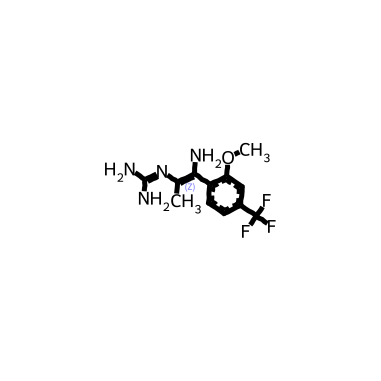 COc1cc(C(F)(F)F)ccc1/C(N)=C(\C)N=C(N)N